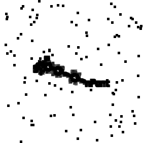 CCCCCC#Cc1ccc(C#Cc2ccc(-c3cc(F)c(N=C=S)c(F)c3)cc2)cc1